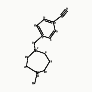 C#Cc1ccc(CN2CCCN(C)CC2)cc1